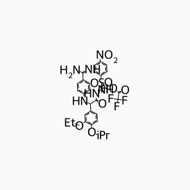 CCOc1cc(C(Nc2ccc(C(=N)N)cc2)C(=O)NNS(=O)(=O)c2ccc([N+](=O)[O-])cc2)ccc1OC(C)C.O=C(O)C(F)(F)F